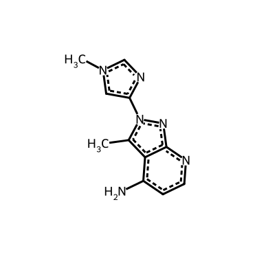 Cc1c2c(N)ccnc2nn1-c1cn(C)cn1